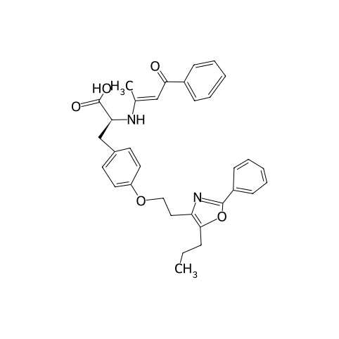 CCCc1oc(-c2ccccc2)nc1CCOc1ccc(C[C@H](N/C(C)=C/C(=O)c2ccccc2)C(=O)O)cc1